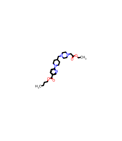 CCCCOC(=O)c1ccc(N2CCC(CN3CCN(CC(=O)OCC)CC3)CC2)nc1